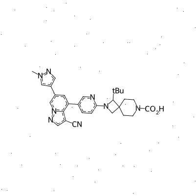 Cn1cc(-c2cc(-c3ccc(N4CC5(CCN(C(=O)O)CC5)C4C(C)(C)C)nc3)c3c(C#N)cnn3c2)cn1